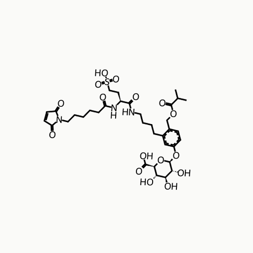 CC(C)C(=O)OCc1ccc(O[C@@H]2O[C@H](C(=O)O)[C@@H](O)[C@H](O)[C@H]2O)cc1CCCCNC(=O)[C@H](CCS(=O)(=O)O)NC(=O)CCCCCN1C(=O)C=CC1=O